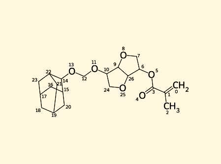 C=C(C)C(=O)OC1COC2C(OCOC3C4CC5CC(C4)CC3C5)COC12